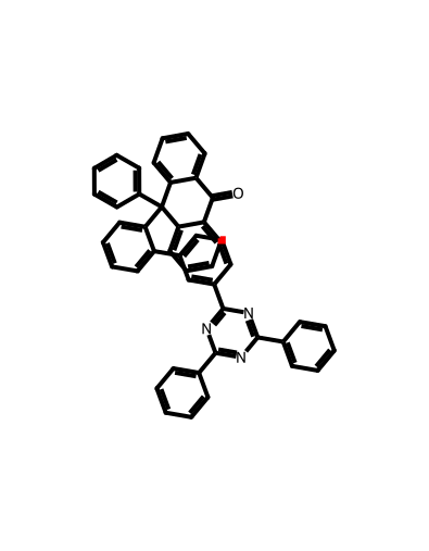 O=C1c2ccccc2C(c2ccccc2)(c2ccccc2-c2cccc(-c3nc(-c4ccccc4)nc(-c4ccccc4)n3)c2)c2ccccc21